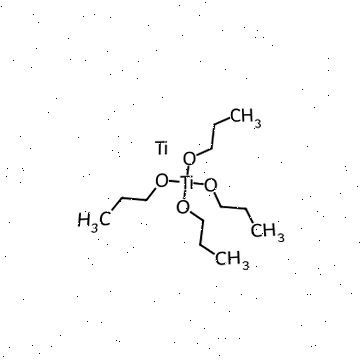 CCC[O][Ti]([O]CCC)([O]CCC)[O]CCC.[Ti]